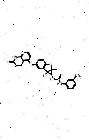 CC12Oc3ccc(Oc4ccnc5c4CCC(=O)N5)cc3[C@H]1[C@@H]2NC(=O)Nc1cccc([N+](=O)[O-])c1